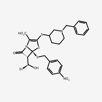 CC[C@H](O)[C@@H]1C(=O)N2C(C(=O)O)=C(SC3CCCN(Cc4ccccc4)C3)S[C@]12SCc1ccc([N+](=O)[O-])cc1